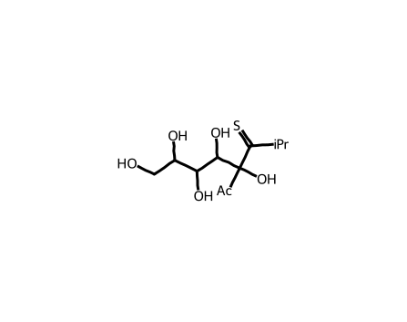 CC(=O)C(O)(C(=S)C(C)C)C(O)C(O)C(O)CO